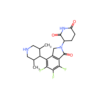 CC1CNCC(C)C1c1c(F)c(F)c(F)c2c1CN(C1CCC(=O)NC1=O)C2=O